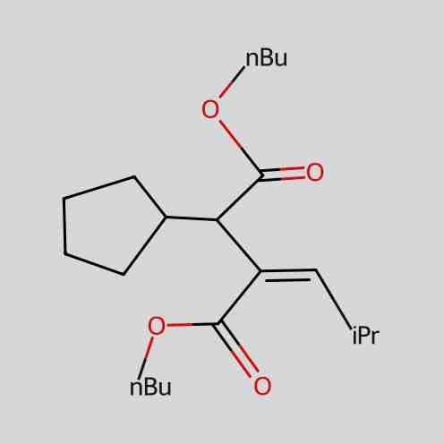 CCCCOC(=O)C(=CC(C)C)C(C(=O)OCCCC)C1CCCC1